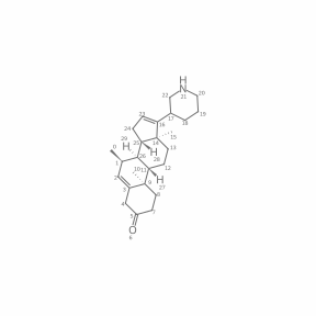 C[C@@H]1C=C2CC(=O)CC[C@]2(C)[C@H]2CC[C@]3(C)C(C4CCCNC4)=CC[C@H]3[C@H]12